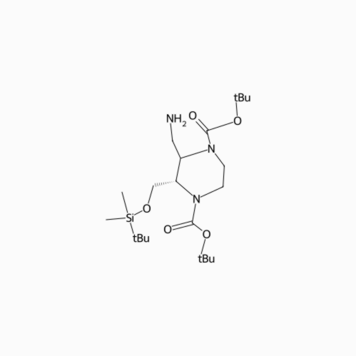 CC(C)(C)OC(=O)N1CCN(C(=O)OC(C)(C)C)[C@H](CO[Si](C)(C)C(C)(C)C)C1CN